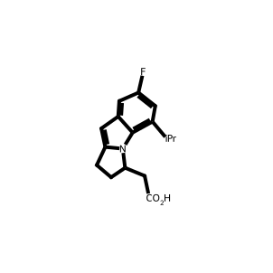 CC(C)c1cc(F)cc2cc3n(c12)C(CC(=O)O)CC3